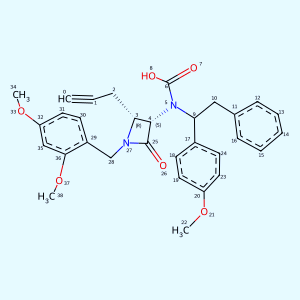 C#CC[C@@H]1[C@H](N(C(=O)O)C(Cc2ccccc2)c2ccc(OC)cc2)C(=O)N1Cc1ccc(OC)cc1OC